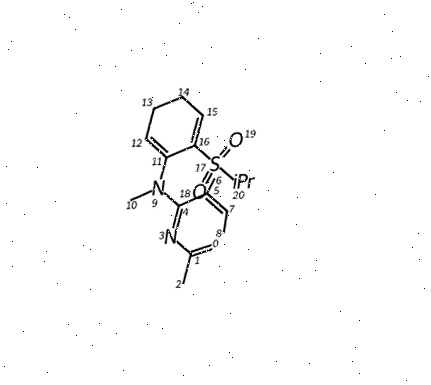 C=C(C)/N=C(\C(C)=C/C)N(C)C1=CCCC=C1S(=O)(=O)C(C)C